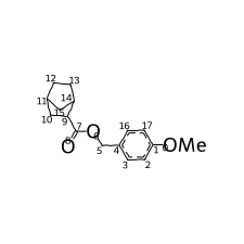 COc1ccc(COC(=O)C2CC3CCC2C3)cc1